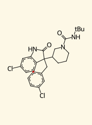 CC(C)(C)NC(=O)N1CCCC(C2(Cc3cccc(Cl)c3)C(=O)Nc3cc(Cl)ccc32)C1